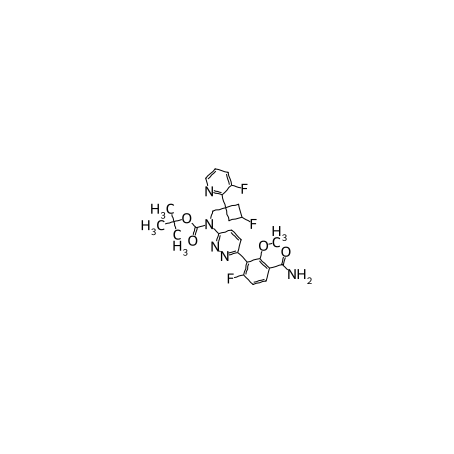 COc1c(C(N)=O)ccc(F)c1-c1ccc(N(CC2(c3ncccc3F)CC(F)C2)C(=O)OC(C)(C)C)nn1